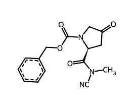 CN(C#N)C(=O)[C@@H]1CC(=O)CN1C(=O)OCc1ccccc1